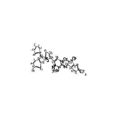 Cc1ccc(N(c2ccc(C)cc2)c2ccc(-c3cnc(/N=c4\c(=O)c(=O)c5cc(C(F)(F)F)ccc45)c4nsnc34)s2)cc1